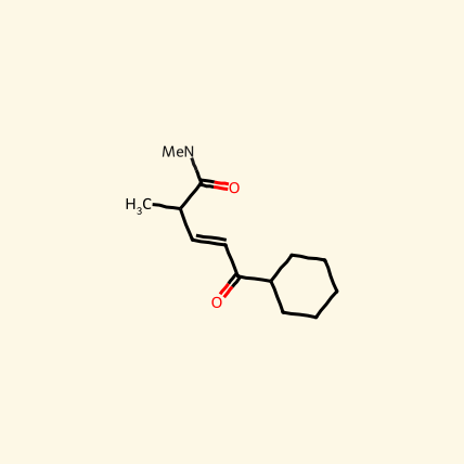 CNC(=O)C(C)C=CC(=O)C1CCCCC1